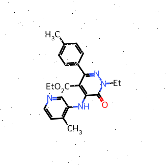 CCOC(=O)c1c(-c2ccc(C)cc2)nn(CC)c(=O)c1Nc1cnccc1C